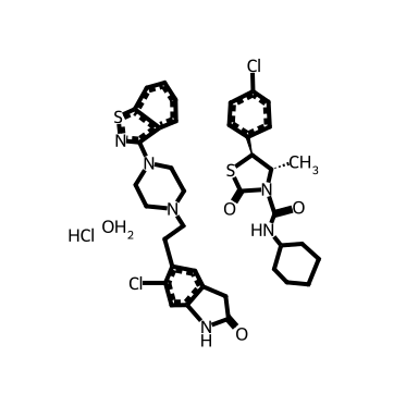 C[C@H]1[C@H](c2ccc(Cl)cc2)SC(=O)N1C(=O)NC1CCCCC1.Cl.O.O=C1Cc2cc(CCN3CCN(c4nsc5ccccc45)CC3)c(Cl)cc2N1